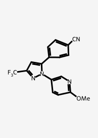 COc1ccc(-n2nc(C(F)(F)F)cc2-c2ccc(C#N)cc2)cn1